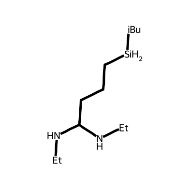 CCNC(CCC[SiH2]C(C)CC)NCC